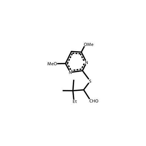 CCC(C)(C)C(C=O)Sc1nc(OC)cc(OC)n1